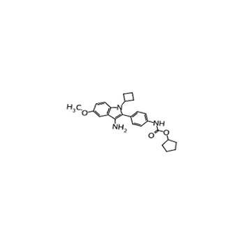 COc1ccc2c(c1)c(N)c(-c1ccc(NC(=O)OC3CCCC3)cc1)n2C1CCC1